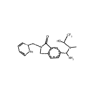 CN(C(N)c1ccc2c(c1)C(=O)N(CC1C=CC=CN1)C2)C(O)C(F)(F)F